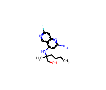 CCCCC(C)(CO)Nc1cc(N)nc2cc(F)ncc12